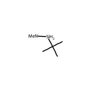 CN[SiH2]C(C)(C)C